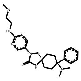 COCCNc1ncc(N2C[C@]3(CC[C@](c4ccccc4)(N(C)C)CC3)NC2=O)cn1